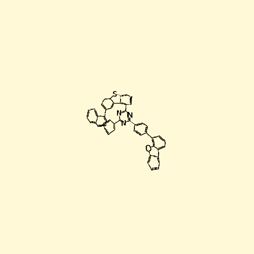 c1ccc(-c2nc(-c3ccc(-c4cccc5c4oc4ccccc45)cc3)nc(-c3cccc4sc5ccc(-c6cccc7ccccc67)cc5c34)n2)cc1